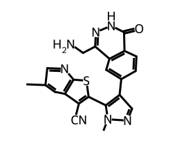 Cc1cnc2sc(-c3c(-c4ccc5c(=O)[nH]nc(CN)c5c4)cnn3C)c(C#N)c2c1